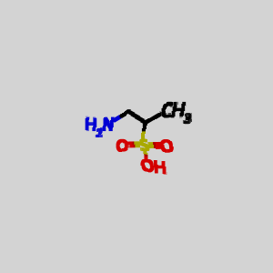 CC(CN)S(=O)(=O)O